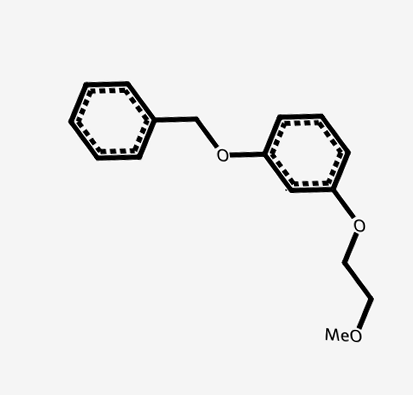 COCCOc1[c]c(OCc2ccccc2)ccc1